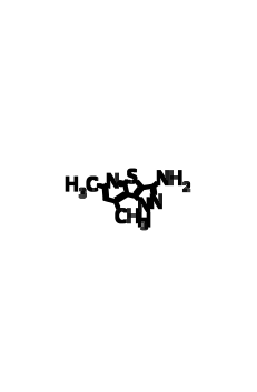 Cc1cc(C)c2c(n1)sc1c(N)n[nH]c12